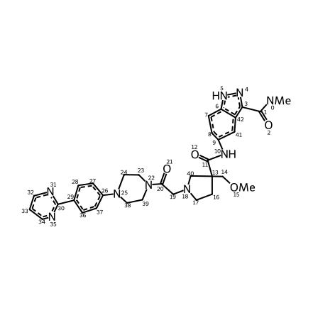 CNC(=O)c1n[nH]c2ccc(NC(=O)C3(COC)CCN(CC(=O)N4CCN(c5ccc(-c6ncccn6)cc5)CC4)C3)cc12